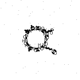 CC[C@@H]1NC(=O)[C@H]([C@H](O)[C@H](C)C/C=C/C(=O)OC)NC(=O)[C@H](C(C)C)N(C)C(=O)[C@H](CC(C)C)N(C)C(=O)[C@H](CC(C)C)N(C)C(=O)[C@@H](C)NC(=O)[C@H](C)NC(=O)[C@H](CC(C)C)N(C)C(=O)[C@H](C(C)C)NC(=O)[C@H]([C@@H](C)OCCCCN2CCOCC2)N(C)C(=O)[C@@H](C)N(C)C1=O